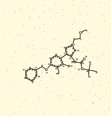 COCCn1cc(-c2ccc(OCc3ccccc3)c(F)c2F)c(NC(=O)OC(C)(C)C)n1